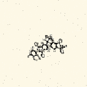 Cc1cc(C)c(N2C(=O)c3ccc(C(C)(c4ccc5c(c4)C(=O)N(C)C5=O)C(F)(F)F)cc3C2=O)c(C)c1C